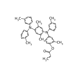 C=CC(=O)Oc1ccc(N(c2cccc(C)c2)c2cc(C)c(N(c3cccc(C)c3)c3cccc(C)c3)cc2C)cc1C